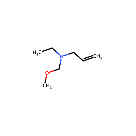 C=CCN(CC)COC